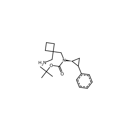 CC(C)(C)OC(=O)N(CC1(CN)CCC1)[C@H]1CC1c1ccccc1